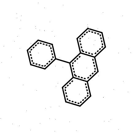 [c]1ccc2cc3ccccc3c(-c3ccccc3)c2c1